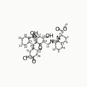 COC(=O)c1ccc2cccc(/N=C/c3c(O)ccc4c(-c5ccccc5C(=O)O)c5cc(Cl)c(=O)cc-5oc34)c2n1